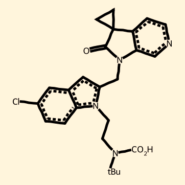 CC(C)(C)N(CCn1c(CN2C(=O)C3(CC3)c3ccncc32)cc2cc(Cl)ccc21)C(=O)O